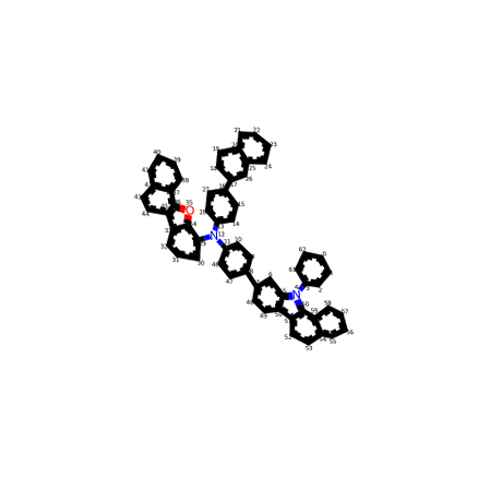 c1ccc(-n2c3cc(-c4ccc(N(c5ccc(-c6ccc7ccccc7c6)cc5)c5cccc6c5oc5c7ccccc7ccc65)cc4)ccc3c3ccc4ccccc4c32)cc1